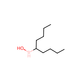 CCCCC(BO)CCCC